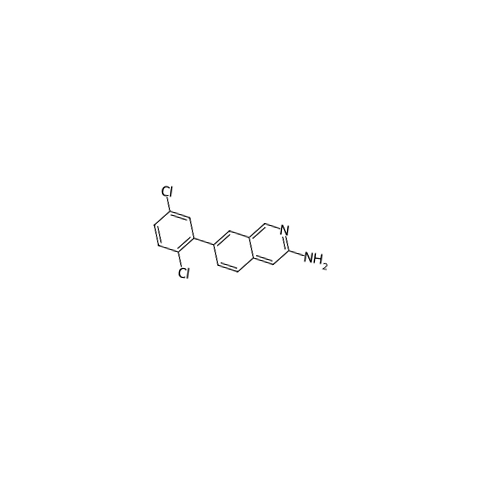 Nc1cc2ccc(-c3cc(Cl)ccc3Cl)cc2cn1